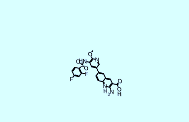 COc1ncc(-c2ccc3nc(N)c(C(=O)O)cc3c2)cc1NS(=O)(=O)c1ccc(F)cc1F